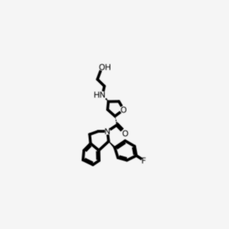 O=C([C@@H]1C[C@H](NCCO)CO1)N1CCc2ccccc2[C@@H]1c1ccc(F)cc1